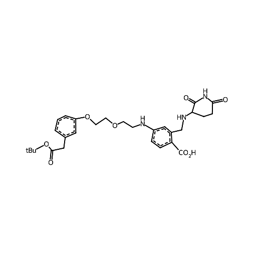 CC(C)(C)OC(=O)Cc1cccc(OCCOCCNc2ccc(C(=O)O)c(CNC3CCC(=O)NC3=O)c2)c1